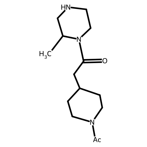 CC(=O)N1CCC(CC(=O)N2CCNCC2C)CC1